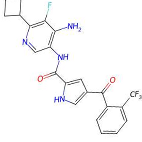 Nc1c(NC(=O)c2cc(C(=O)c3ccccc3C(F)(F)F)c[nH]2)cnc(C2CCC2)c1F